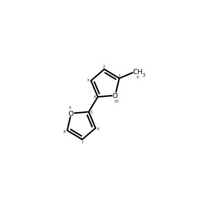 Cc1ccc(-c2ccco2)o1